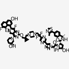 CCc1c(F)ccc2cc(O)cc(-c3ncc4c(N5CCC[C@@](C)(O)C5)nc(OCC5(CN6CCN(CC(F)(F)c7cnc(-c8cn([C@H](C(=O)N9C[C@H](O)C[C@H]9C(=O)N[C@@H](C)c9ccc(-c%10scnc%10C)cc9)C(C)C)nn8)cn7)CC6)CC5)nc4c3F)c12